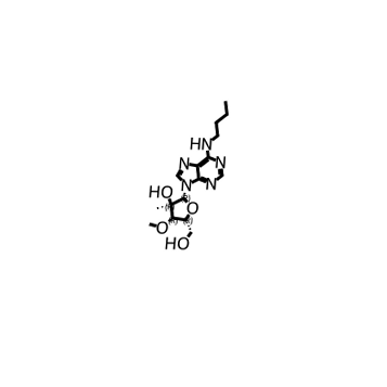 CCCCNc1ncnc2c1ncn2[C@@H]1O[C@H](CO)[C@@H](OC)[C@@]1(C)O